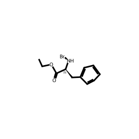 CCOC(=O)[C@H](Cc1ccccc1)NBr